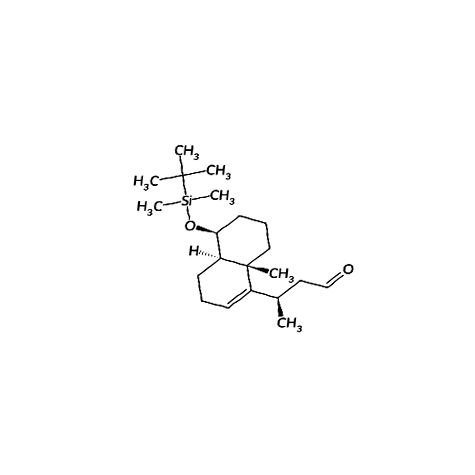 C[C@H](CC=O)C1=CCC[C@H]2[C@@H](O[Si](C)(C)C(C)(C)C)CCC[C@]12C